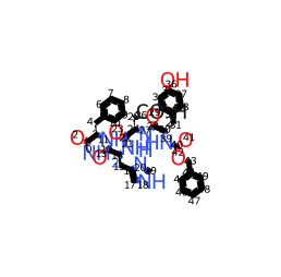 NC(=O)[C@H](Cc1ccccc1)NC(=O)[C@H](Cc1c[nH]cn1)NC(=O)[C@H](CC(=O)O)NC(=O)[C@H](Cc1ccc(O)cc1)NC(=O)OCc1ccccc1